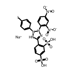 O=[N+]([O-])c1ccc(N2N=C(c3ccc(S(=O)(=O)O)cc3S(=O)(=O)O)NN2c2ccc(I)cc2)c([N+](=O)[O-])c1.[Na+]